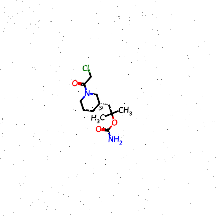 CC(C)(C[C@@H]1CCCN(C(=O)CCl)C1)OC(N)=O